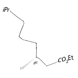 CCOC(=O)C[C@H](C)CCCC(C)C